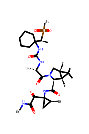 CCNC(=O)C(=O)[C@@]1(NC(=O)[C@@H]2[C@@H]3[C@H](CN2C(=O)[C@@H](NC(=O)NC2([C@H](C)S(=O)(=O)C(C)(C)C)CCCCC2)C(C)(C)C)C3(C)C)C[C@@H]1CC